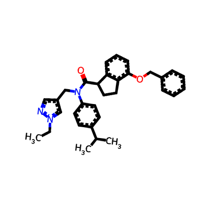 CCn1cc(CN(C(=O)C2CCc3c(OCc4ccccc4)cccc32)c2ccc(C(C)C)cc2)cn1